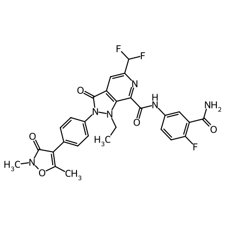 CCn1c2c(C(=O)Nc3ccc(F)c(C(N)=O)c3)nc(C(F)F)cc2c(=O)n1-c1ccc(-c2c(C)on(C)c2=O)cc1